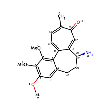 CCOc1cc2c(c(OC)c1OC)-c1ccc(C)c(=O)cc1[C@@H](N)CC2